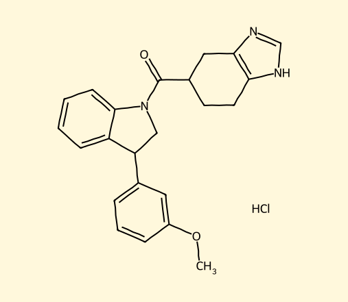 COc1cccc(C2CN(C(=O)C3CCc4[nH]cnc4C3)c3ccccc32)c1.Cl